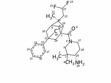 CC1(C)CN(C(=O)C23CC4CC(c5ccccc5)(CC2[C@]4(C)CC(F)F)C3)CC[C@@H]1N